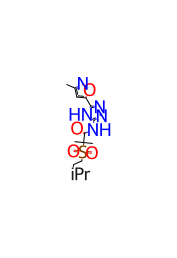 Cc1cc(-c2nnc(NC(=O)C(C)(C)S(=O)(=O)CCC(C)C)[nH]2)on1